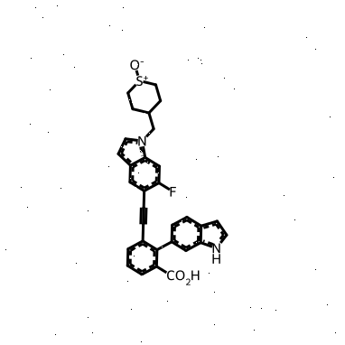 O=C(O)c1cccc(C#Cc2cc3ccn(CC4CC[S+]([O-])CC4)c3cc2F)c1-c1ccc2cc[nH]c2c1